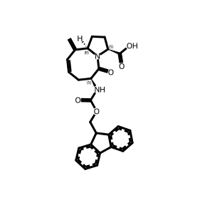 C=C1C=CC[C@H](NC(=O)OCC2c3ccccc3-c3ccccc32)C(=O)N2[C@@H]1CC[C@H]2C(=O)O